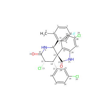 Cc1ccc(F)cc1[C@@H]1NC(=O)[C@@H](Cl)[C@@H](c2cccc(Cl)c2)[C@]12C(=O)Nc1cc(Cl)ccc12